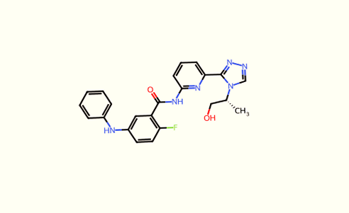 C[C@H](CO)n1cnnc1-c1cccc(NC(=O)c2cc(Nc3ccccc3)ccc2F)n1